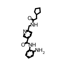 Nc1ccccc1NC(=O)c1ccc(CNC(=O)CC2CCCC2)nc1